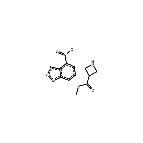 COC(=O)C1CNC1.O=[N+]([O-])c1cccc2nonc12